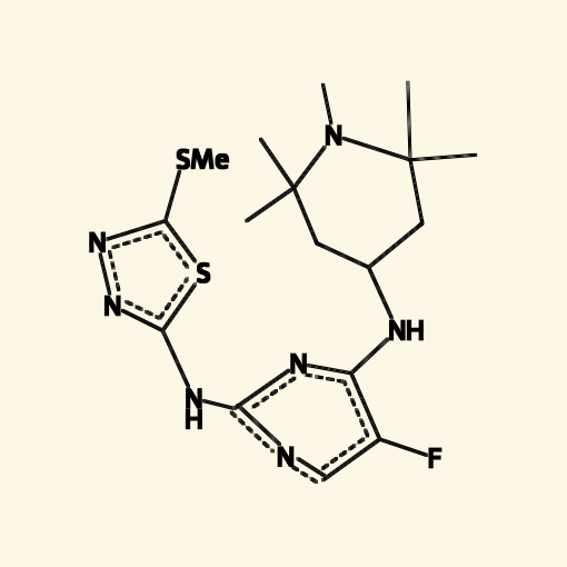 CSc1nnc(Nc2ncc(F)c(NC3CC(C)(C)N(C)C(C)(C)C3)n2)s1